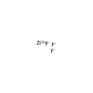 [F-].[F-].[F-].[Zr+3]